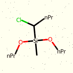 CCCO[Si](C)(OCCC)C(Cl)CCC